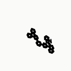 c1cc(-c2ccc3c4ccccc4c4ccccc4c3c2)cc(-c2ccc3c4c5ccccc5ccc4c4nc5ccccc5n4c3c2)c1